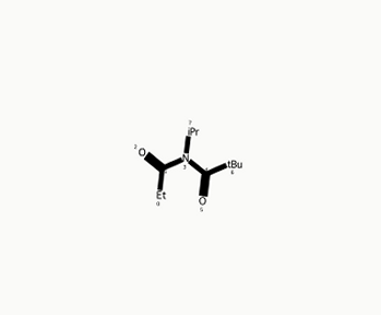 CCC(=O)N(C(=O)C(C)(C)C)C(C)C